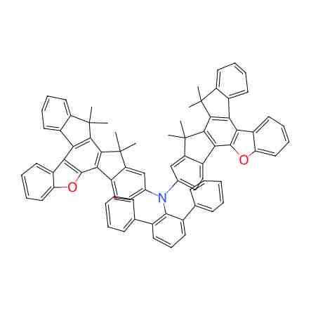 CC1(C)c2cc(N(c3ccc4c(c3)C(C)(C)c3c5c(c6c(oc7ccccc76)c3-4)-c3ccccc3C5(C)C)c3c(-c4ccccc4)cccc3-c3ccccc3)ccc2-c2c1c1c(c3c2oc2ccccc23)-c2ccccc2C1(C)C